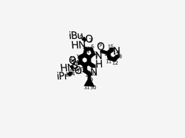 CCC(C)C(=O)N[C@@H]1C[C@H](NC(=O)c2cccnc2)c2c1cc(S(=O)(=O)NCC(C)C)c1cc(C3CC3)ncc21